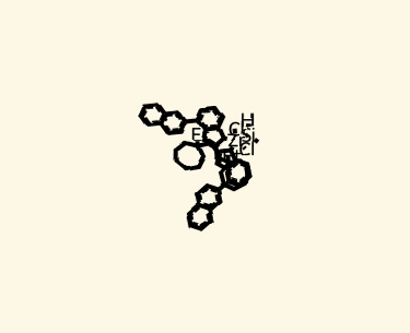 CCC1(CC2=Cc3c(-c4ccc5ccccc5c4)cccc3[CH]2[Zr]([Cl])([Cl])([CH]2C(CC3(CC)CCCCCC3)=Cc3c(-c4ccc5ccccc5c4)cccc32)[SiH](C)C)CCCCCC1